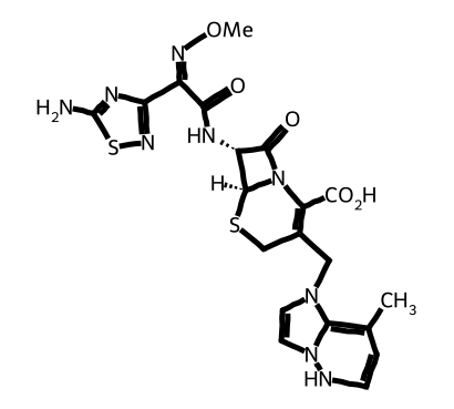 CO/N=C(\C(=O)N[C@@H]1C(=O)N2C(C(=O)O)=C(CN3C=CN4NC=CC(C)=C34)CS[C@@H]12)c1nsc(N)n1